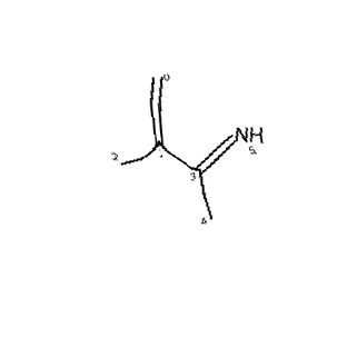 C=C(C)C(C)=N